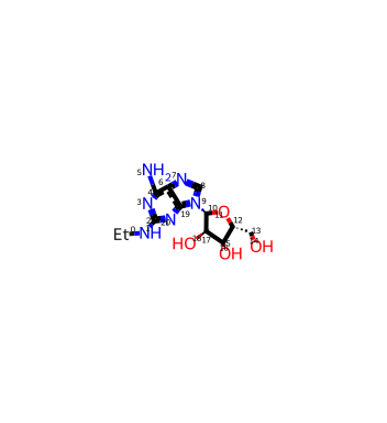 CCNc1nc(N)c2ncn([C@@H]3O[C@H](CO)[C@@H](O)[C@H]3O)c2n1